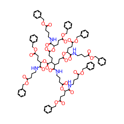 O=C(CCCNC(=O)C(CCC(=O)OCc1ccccc1)OC(=O)CCCNC(=O)C(CCC(=O)OC(CCC(=O)OCc1ccccc1)C(=O)NCCCC(=O)OCc1ccccc1)C(CCC(=O)OC(CCC(=O)OCc1ccccc1)C(=O)NCCCC(=O)OCc1ccccc1)C(=O)OC(CCC(=O)OCc1ccccc1)C(=O)NCCCC(=O)OCc1ccccc1)OCc1ccccc1